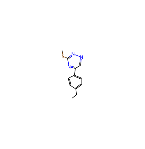 CCc1ccc(-c2cnnc(SC)n2)cc1